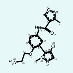 Cc1nocc1C(=O)Nc1ccc(OCCN)c(-c2c(Cl)cnn2C)c1